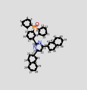 O=P(c1ccccc1)(c1ccccc1)c1cccc(-c2nc(-c3ccc4ccccc4c3)cc(-c3ccc4ccccc4c3)n2)c1